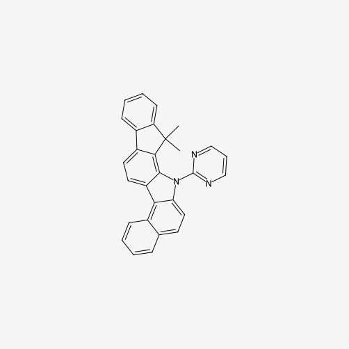 CC1(C)c2ccccc2-c2ccc3c4c5ccccc5ccc4n(-c4ncccn4)c3c21